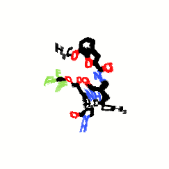 COc1cccc2cc(C(=O)/N=C/C(CC(C)C)C(=O)N[C@@H](C[C@@H]3CCNC3=O)C(=O)COC(F)(F)F)oc12